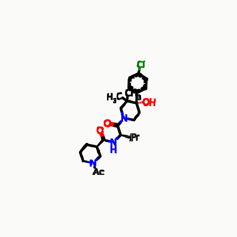 CC(=O)N1CCC[C@@H](C(=O)N[C@@H](C(=O)N2CC[C@](O)(c3ccc(Cl)cc3)C(C)(C)C2)C(C)C)C1